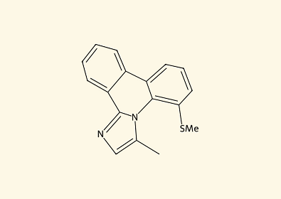 CSc1cccc2c3ccccc3c3ncc(C)n3c12